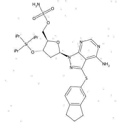 CC(C)[Si](O[C@H]1C[C@H](n2nc(Sc3ccc4c(c3)CCC4)c3c(N)ncnc32)O[C@@H]1COS(N)(=O)=O)(C(C)C)C(C)C